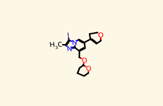 Cc1nc2c(COC3CCCCO3)cc(C3=CCOCC3)cn2c1I